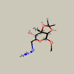 CO[C@H]1OC(CN=[N+]=[N-])[C@H](O)[C@@H]2OC(C)(C)OC12